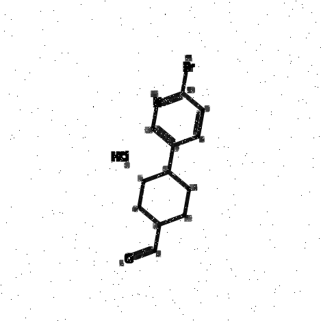 Cl.O=CC1CCC(c2ccc(Br)nc2)CC1